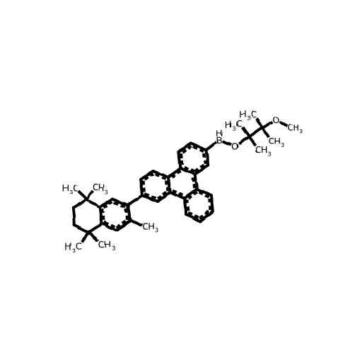 COC(C)(C)C(C)(C)OBc1ccc2c3ccc(-c4cc5c(cc4C)C(C)(C)CCC5(C)C)cc3c3ccccc3c2c1